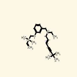 C=C[Si](C)(C)COc1cccc(CN(CC)C/C=C/C#CC(C)(C)C)c1